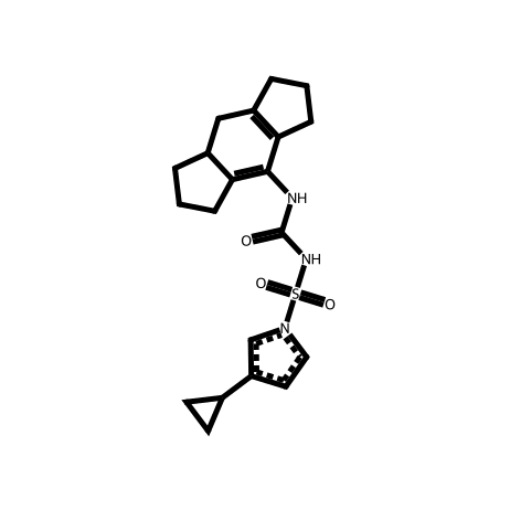 O=C(NC1=C2CCCC2CC2=C1CCC2)NS(=O)(=O)n1ccc(C2CC2)c1